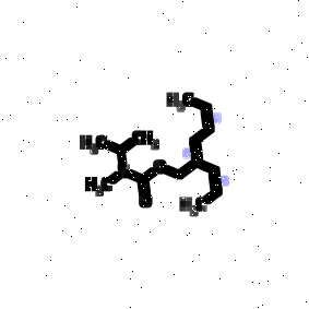 C\C=C/C=C(\C=C/C)COC(=O)N(C)C(C)C